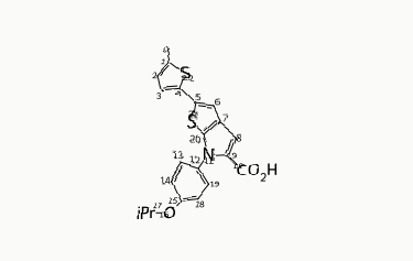 Cc1ccc(-c2cc3cc(C(=O)O)n(-c4ccc(OC(C)C)cc4)c3s2)s1